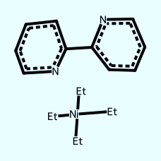 C[CH2][Ni]([CH2]C)([CH2]C)[CH2]C.c1ccc(-c2ccccn2)nc1